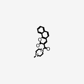 CN1CCN(C(=O)c2cc3ccc4ccccc4c3oc2=O)CC1